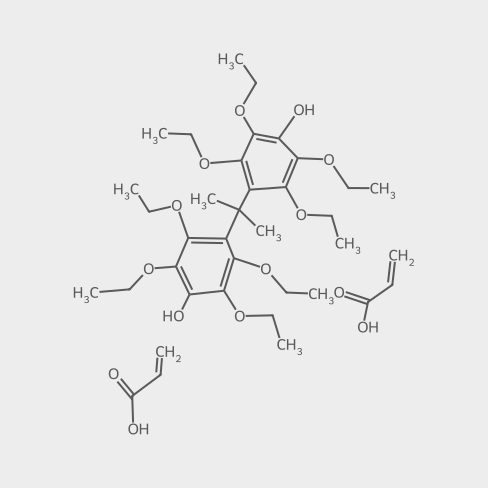 C=CC(=O)O.C=CC(=O)O.CCOc1c(O)c(OCC)c(OCC)c(C(C)(C)c2c(OCC)c(OCC)c(O)c(OCC)c2OCC)c1OCC